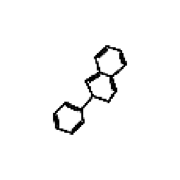 C1=c2ccccc2=CC(c2ccccc2)C1